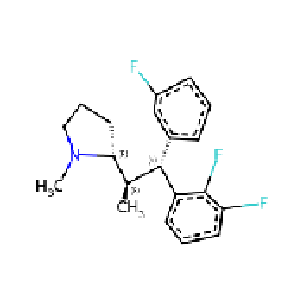 C[C@H]([C@H](c1cccc(F)c1)c1cccc(F)c1F)[C@H]1CCCN1C